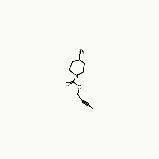 CC#CCOC(=O)N1CCC(C(C)C)CC1